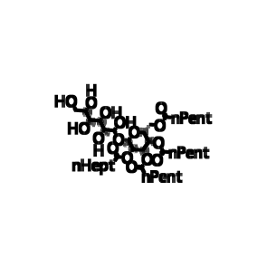 CCCCCCCC(=O)O[C@@H]1[C@H](OC(O)[C@@H](O)[C@@H](O)[C@H](O)[C@@H](O)CO)O[C@H](COC(=O)CCCCC)[C@@H](OC(=O)CCCCC)[C@@H]1OC(=O)CCCCC